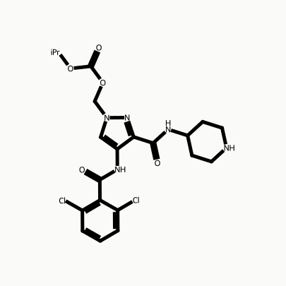 CC(C)OC(=O)OCn1cc(NC(=O)c2c(Cl)cccc2Cl)c(C(=O)NC2CCNCC2)n1